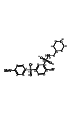 CNc1ccc(S(=O)(=O)c2ccc(C(C)C)c(S(=O)(=O)NCC3CCOCC3)c2)cc1